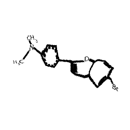 CN(C)c1ccc(C2=CC3C=C(Br)C=CC3O2)cc1